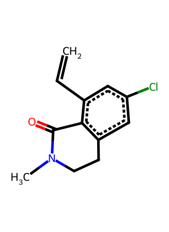 C=Cc1cc(Cl)cc2c1C(=O)N(C)CC2